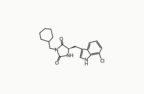 O=C1N[C@H](Cc2c[nH]c3c(Cl)cccc23)C(=O)N1CC1CCCCC1